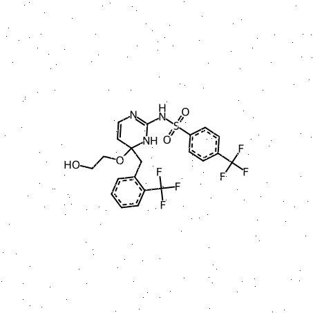 O=S(=O)(NC1=NC=CC(Cc2ccccc2C(F)(F)F)(OCCO)N1)c1ccc(C(F)(F)F)cc1